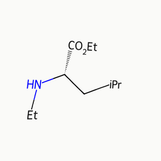 CCN[C@@H](CC(C)C)C(=O)OCC